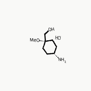 CO[C@]1(CO)CC[C@H](N)CC1.Cl